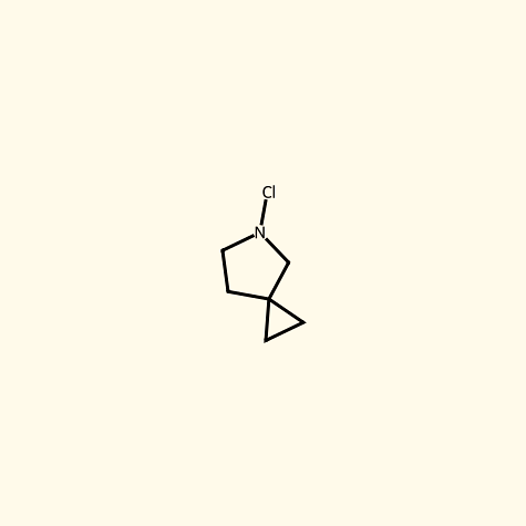 ClN1CCC2(CC2)C1